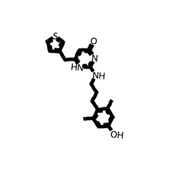 Cc1cc(O)cc(C)c1CCCNc1nc(=O)cc(Cc2ccsc2)[nH]1